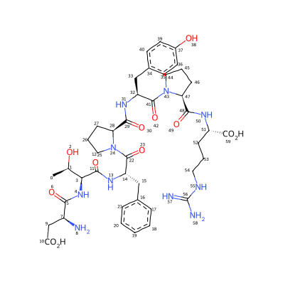 C[C@@H](O)[C@H](NC(=O)[C@@H](N)CC(=O)O)C(=O)N[C@@H](Cc1ccccc1)C(=O)N1CCC[C@H]1C(=O)N[C@@H](Cc1ccc(O)cc1)C(=O)N1CCC[C@H]1C(=O)N[C@@H](CCCNC(=N)N)C(=O)O